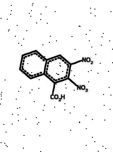 O=C(O)c1c([N+](=O)[O-])c([N+](=O)[O-])cc2ccccc12